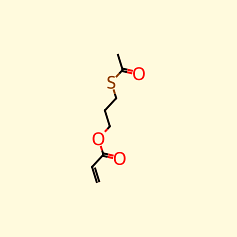 C=CC(=O)OCCCSC(C)=O